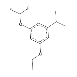 [CH2]C(C)c1cc(OCC)cc(OC(F)F)c1